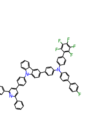 Fc1ccc(-c2ccc(N(c3ccc(-c4ccc5c(c4)c4ccccc4n5-c4ccc(-c5cc(-c6ccccc6)nc(-c6ccccc6)c5)cc4)cc3)c3ccc(-c4c(F)c(F)c(F)c(F)c4F)cc3)cc2)cc1